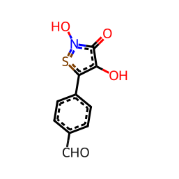 O=Cc1ccc(-c2sn(O)c(=O)c2O)cc1